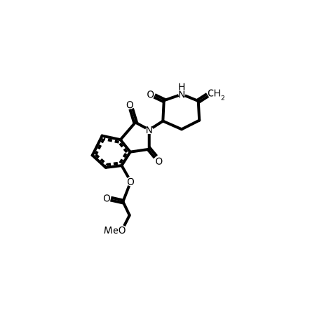 C=C1CCC(N2C(=O)c3cccc(OC(=O)COC)c3C2=O)C(=O)N1